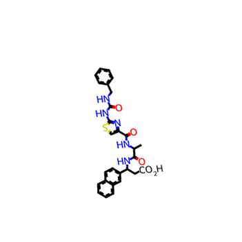 CC(NC(=O)c1csc(NC(=O)NCc2ccccc2)n1)C(=O)NC(CC(=O)O)c1ccc2ccccc2c1